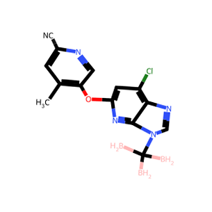 BC(B)(B)n1cnc2c(Cl)cc(Oc3cnc(C#N)cc3C)nc21